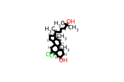 CC(CCCC(C)(C)O)C1CCC2C3CC(Cl)C4(Cl)CC(O)CCC4(C)C3CCC12C